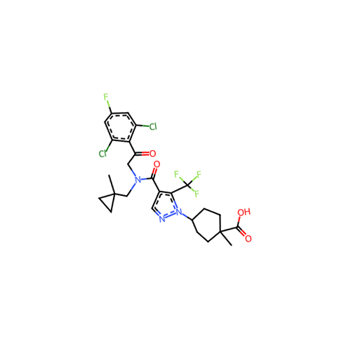 CC1(CN(CC(=O)c2c(Cl)cc(F)cc2Cl)C(=O)c2cnn(C3CCC(C)(C(=O)O)CC3)c2C(F)(F)F)CC1